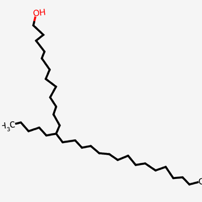 CCCCCCCCCCCCCCCCC(CCCCC)CCCCCCCCCCCCO